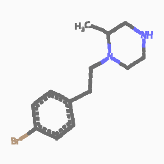 CC1CNCCN1CCc1ccc(Br)cc1